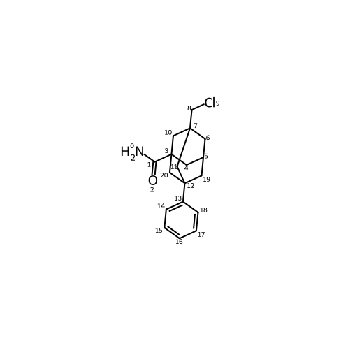 NC(=O)C12CC3CC(CCl)(C1)CC(c1ccccc1)(C3)C2